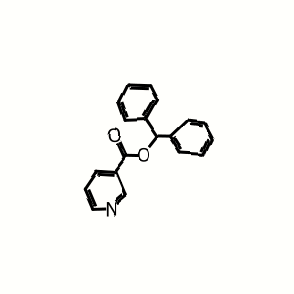 O=C(OC(c1ccccc1)c1ccccc1)c1cccnc1